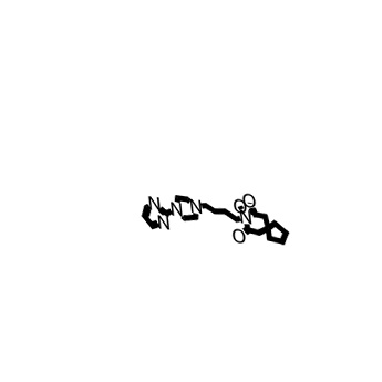 O=C1CC2(CCCC2)CC(=O)[N+]1([O-])CCCCN1CCN(c2ncccn2)CC1